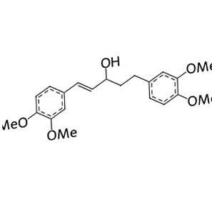 COc1ccc(/C=C/C(O)CCc2ccc(OC)c(OC)c2)cc1OC